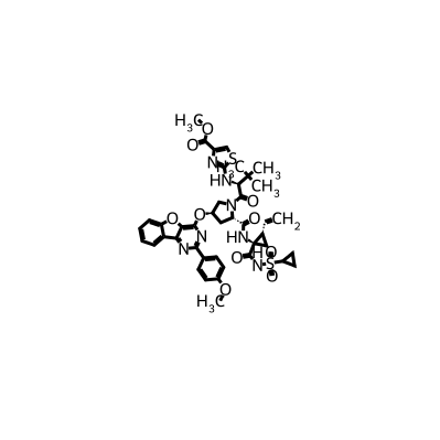 C=C[C@@H]1C[C@]1(NC(=O)[C@@H]1C[C@@H](Oc2nc(-c3ccc(OC)cc3)nc3c2oc2ccccc23)CN1C(=O)[C@@H](Nc1nc(C(=O)OC)cs1)C(C)(C)C)C(=O)NS(=O)(=O)C1CC1